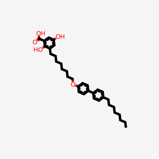 CCCCCCCCc1ccc(-c2ccc(OCCCCCCCCc3cc(O)cc(C(=O)O)c3O)cc2)cc1